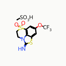 CS(=O)(=O)O.N=c1sc2cc(OC(F)(F)F)cc3c2n1CCS3(=O)=O